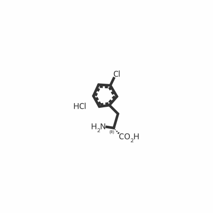 Cl.N[C@H](Cc1cccc(Cl)c1)C(=O)O